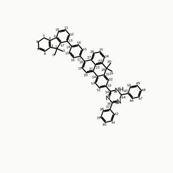 CC1(C)C2=C(CCC=C2)c2cccc(-c3ccc(-c4ccc5c6c(cccc46)C(C)(C)c4cc(C6=NC(c7ccccc7)=NC(c7ccccc7)N6)ccc4-5)cc3)c21